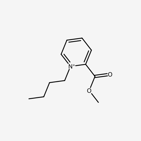 CCCC[n+]1ccccc1C(=O)OC